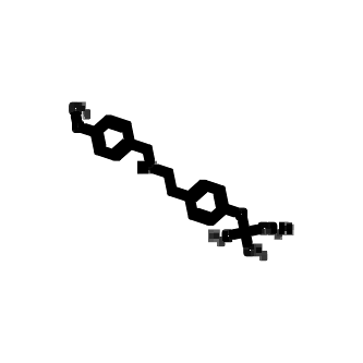 CCOC(=O)C(C)(C)Oc1ccc(CCNCc2ccc(OC(F)(F)F)cc2)cc1